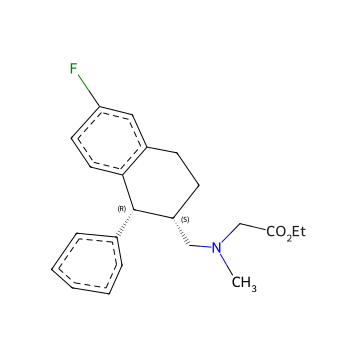 CCOC(=O)CN(C)C[C@H]1CCc2cc(F)ccc2[C@H]1c1ccccc1